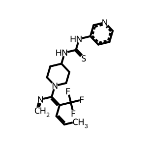 C=N/C(=C(\C=C/C)C(F)(F)F)N1CCC(NC(=S)Nc2cccnc2)CC1